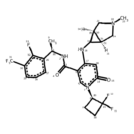 C[C@@H](NC(=O)c1cn([C@@H]2CCC2(F)F)c(=O)cc1NC1[C@H]2CN(C)C[C@@H]12)c1cccc(C(F)(F)F)c1F